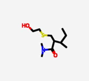 CCC(C)C(CSCCO)C(=O)N(C)C